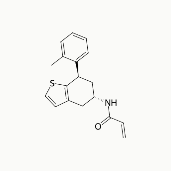 C=CC(=O)N[C@@H]1Cc2ccsc2[C@@H](c2ccccc2C)C1